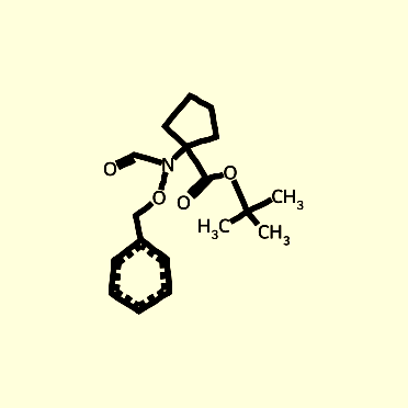 CC(C)(C)OC(=O)C1(N(C=O)OCc2ccccc2)CCCC1